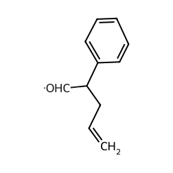 C=CCC([C]=O)c1ccccc1